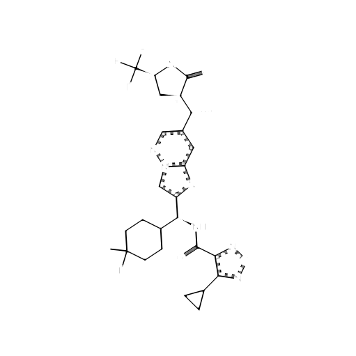 C[C@H](c1cnn2cc([C@@H](NC(=O)c3nonc3C3CC3)C3CCC(F)(F)CC3)nc2c1)[C@H]1C[C@@H](C(F)(F)F)NC1=O